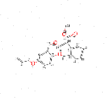 C=CCOc1ccc(OCc2ccccc2/C(=C/OC)C(=O)OC)cc1